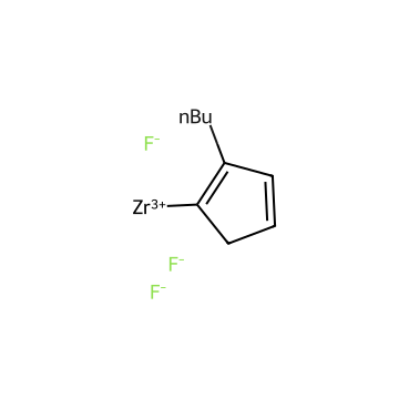 CCCCC1=[C]([Zr+3])CC=C1.[F-].[F-].[F-]